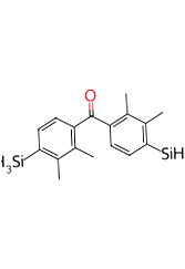 Cc1c([SiH3])ccc(C(=O)c2ccc([SiH3])c(C)c2C)c1C